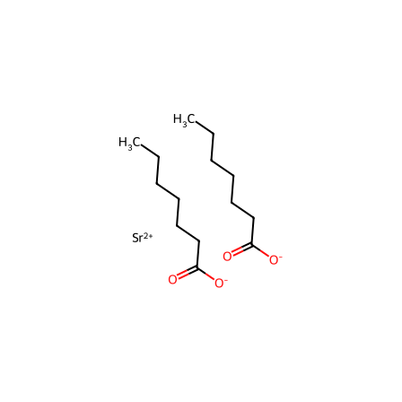 CCCCCCC(=O)[O-].CCCCCCC(=O)[O-].[Sr+2]